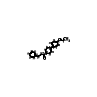 CCOc1ccc(N2CCN(C(=O)CCc3ccccc3)CC2)cc1